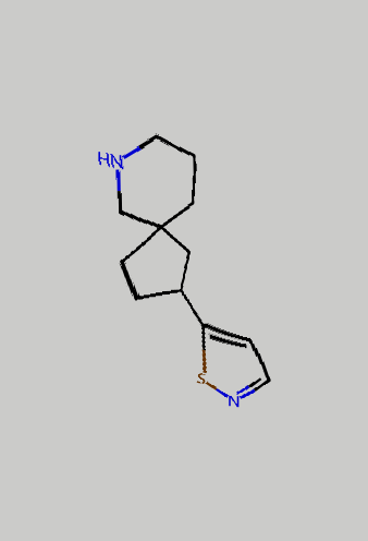 c1cc(C2CCC3(CCCNC3)C2)sn1